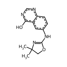 CC1(C)COC(Nc2ccc3ncnc(O)c3c2)=N1